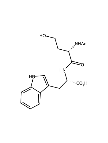 CC(=O)N[C@@H](CCO)C(=O)N[C@@H](Cc1c[nH]c2ccccc12)C(=O)O